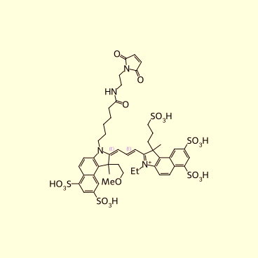 CC[N+]1=C(/C=C/C=C2/N(CCCCCC(=O)NCCN3C(=O)C=CC3=O)c3ccc4c(S(=O)(=O)O)cc(S(=O)(=O)O)cc4c3C2(C)CCOC)C(C)(CCCS(=O)(=O)O)c2c1ccc1c(S(=O)(=O)O)cc(S(=O)(=O)O)cc21